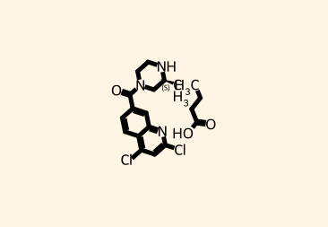 CCCC(=O)O.C[C@H]1CN(C(=O)c2ccc3c(Cl)cc(Cl)nc3c2)CCN1